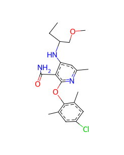 CCC(COC)Nc1cc(C)nc(Oc2c(C)cc(Cl)cc2C)c1C(N)=O